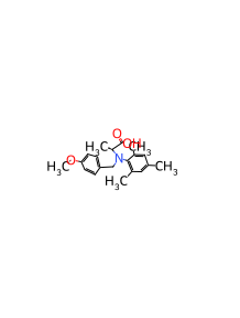 COc1ccc(CN(c2c(C)cc(C)cc2C)[C@@H](C)C(=O)O)cc1